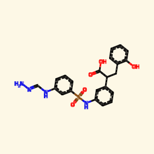 NN=CNc1cccc(S(=O)(=O)Nc2cccc(C(Cc3ccccc3O)C(=O)O)c2)c1